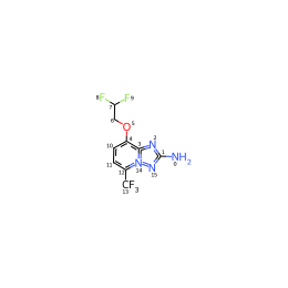 Nc1nc2c(OCC(F)F)ccc(C(F)(F)F)n2n1